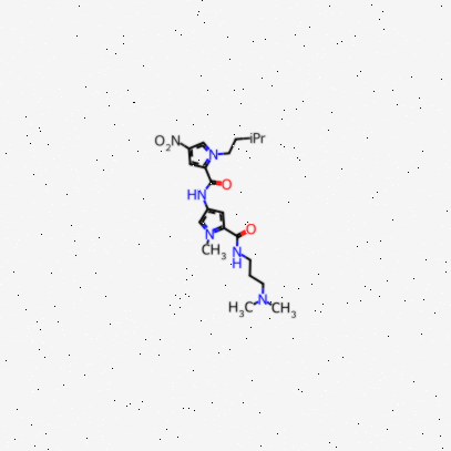 CC(C)CCn1cc([N+](=O)[O-])cc1C(=O)Nc1cc(C(=O)NCCCN(C)C)n(C)c1